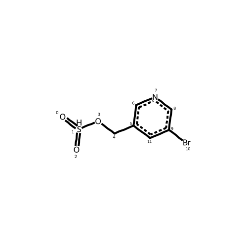 O=[SH](=O)OCc1cncc(Br)c1